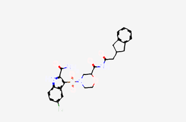 NC(=O)c1[nH]c2ccc(Br)cc2c1S(=O)(=O)N1CCOC(C(=O)NC(=O)CC2Cc3ccccc3C2)C1